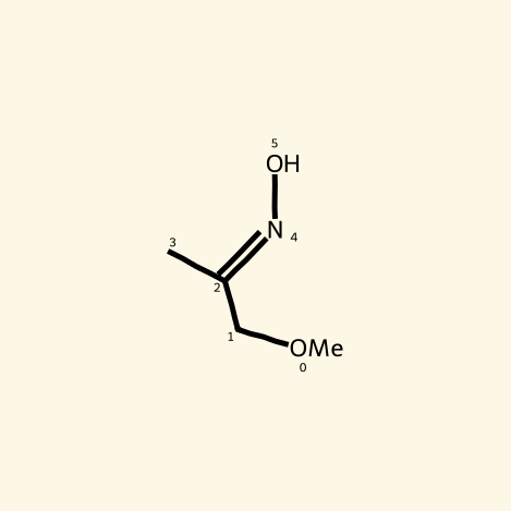 COCC(C)=NO